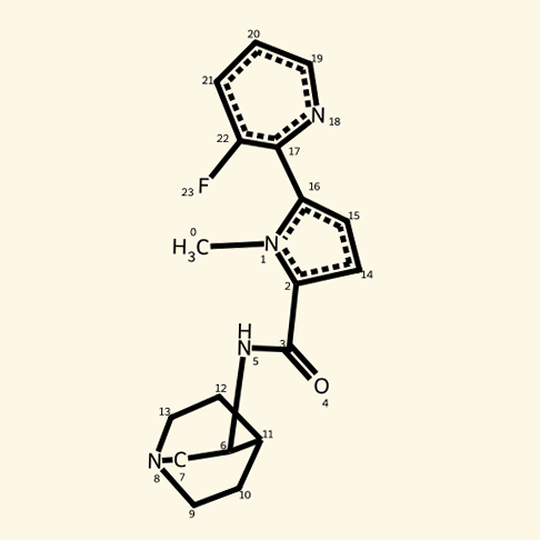 Cn1c(C(=O)NC2CN3CCC2CC3)ccc1-c1ncccc1F